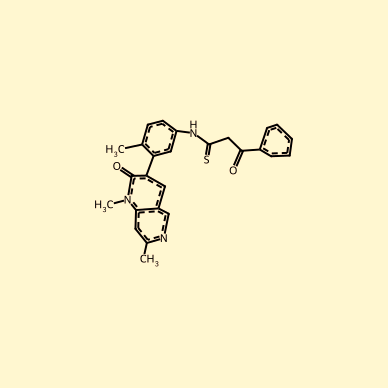 Cc1cc2c(cn1)cc(-c1cc(NC(=S)CC(=O)c3ccccc3)ccc1C)c(=O)n2C